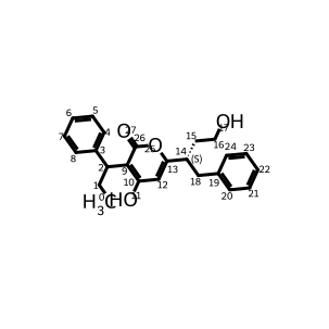 CCC(c1ccccc1)c1c(O)cc([C@H](CCO)Cc2ccccc2)oc1=O